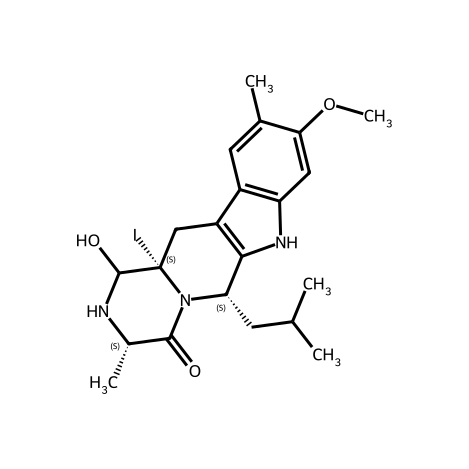 COc1cc2[nH]c3c(c2cc1C)C[C@]1(I)C(O)N[C@@H](C)C(=O)N1[C@H]3CC(C)C